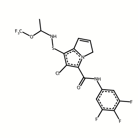 CC(NSc1c(Cl)c(C(=O)Nc2cc(F)c(F)c(F)c2)n2c1C=CC2)OC(F)(F)F